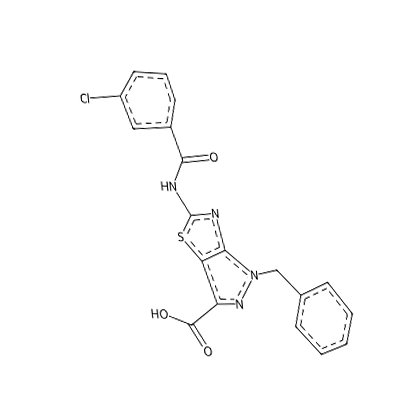 O=C(Nc1nc2c(s1)c(C(=O)O)nn2Cc1ccccc1)c1cccc(Cl)c1